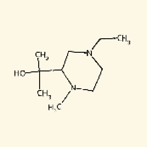 CCN1CCN(C)C(C(C)(C)O)C1